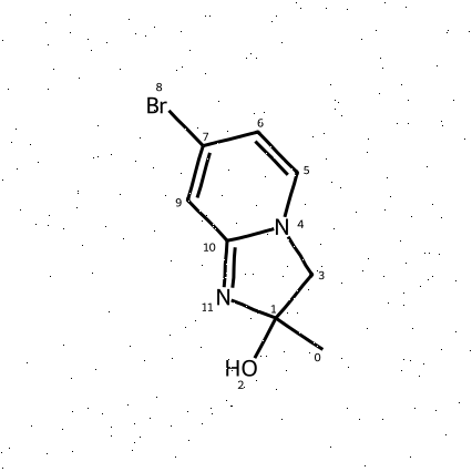 CC1(O)CN2C=CC(Br)=CC2=N1